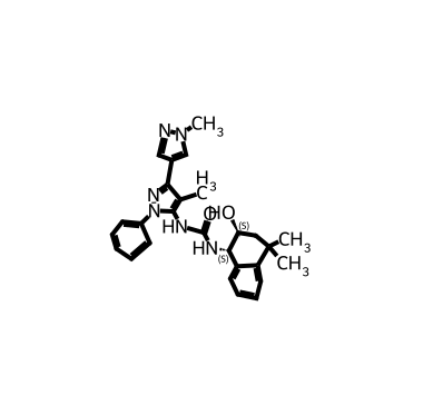 Cc1c(-c2cnn(C)c2)nn(-c2ccccc2)c1NC(=O)N[C@H]1c2ccccc2C(C)(C)C[C@@H]1O